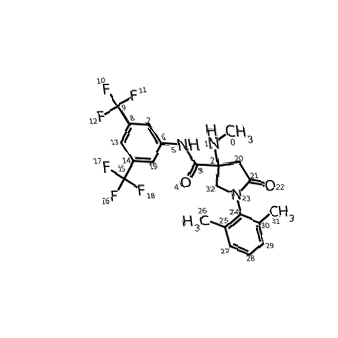 CNC1(C(=O)Nc2cc(C(F)(F)F)cc(C(F)(F)F)c2)CC(=O)N(c2c(C)cccc2C)C1